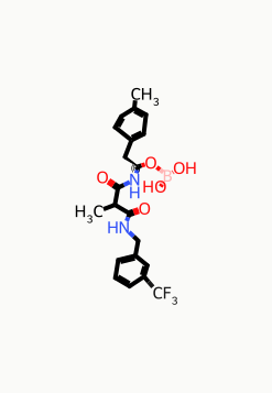 Cc1ccc(C[C@H](NC(=O)C(C)C(=O)NCc2cccc(C(F)(F)F)c2)OB(O)O)cc1